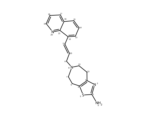 Nc1nc2c(s1)CCN(CC=Cc1cccc3cccnc13)CC2